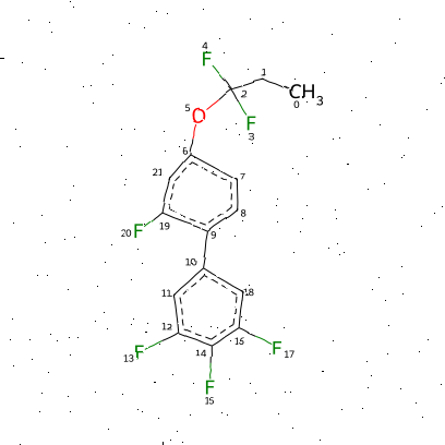 CCC(F)(F)Oc1ccc(-c2cc(F)c(F)c(F)c2)c(F)c1